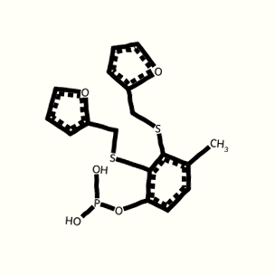 Cc1ccc(OP(O)O)c(SCc2ccco2)c1SCc1ccco1